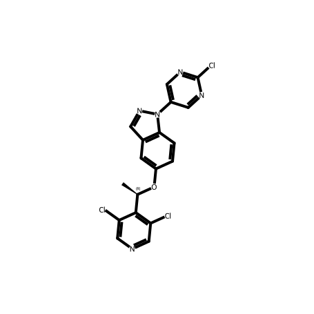 C[C@@H](Oc1ccc2c(cnn2-c2cnc(Cl)nc2)c1)c1c(Cl)cncc1Cl